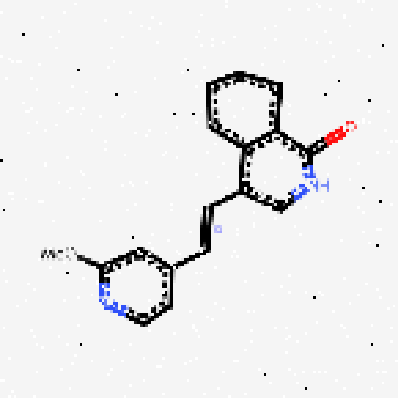 COc1cc(/C=C/c2c[nH]c(=O)c3ccccc23)ccn1